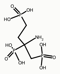 NC(CCP(=O)(O)O)(CP(=O)(O)O)P(=O)(O)O